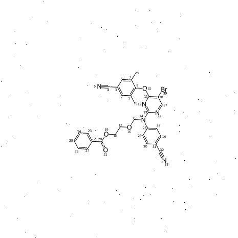 Cc1cc(C#N)cc(C)c1Oc1nc(N(COCCOC(=O)c2ccccc2)c2ccc(C#N)cc2)ncc1Br